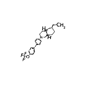 CCC1CC[C@@H]2C[C@H](c3ccc(-c4ccc(OC(F)(F)F)cc4)cc3)CC[C@@H]2C1